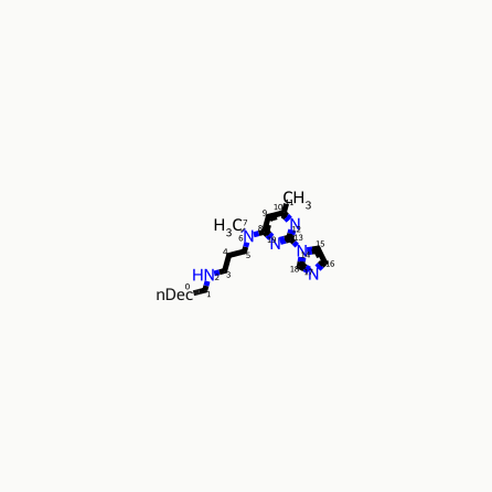 CCCCCCCCCCCNCCCN(C)c1cc(C)nc(-n2ccnc2)n1